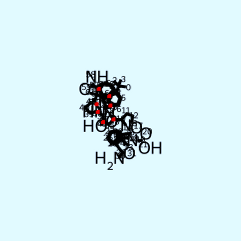 CC(C)(C)c1ccc(N2C(C3CCCN3[C@]3(C(=O)NC(=O)O)c4ccc(cc4)C(C(N)=O)C3(C)C)CCC2C2CCCN2[C@]2(C(=O)NC(=O)O)c3ccc(cc3)C(C(N)=O)C2(C)C)cc1